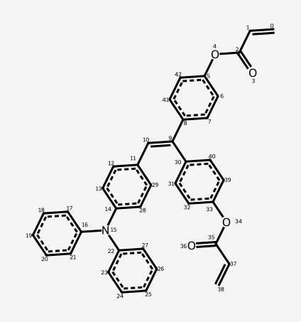 C=CC(=O)Oc1ccc(C(=Cc2ccc(N(c3ccccc3)c3ccccc3)cc2)c2ccc(OC(=O)C=C)cc2)cc1